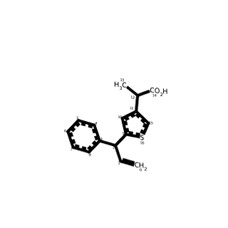 C=CC(c1ccccc1)c1cc(C(C)C(=O)O)cs1